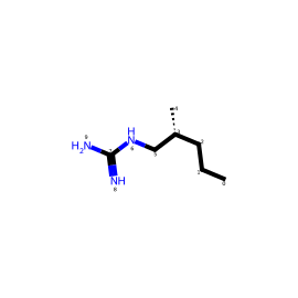 CCC[C@@H](C)CNC(=N)N